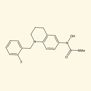 CNC(=O)N(O)c1ccc2c(c1)CCCN2Cc1ccccc1F